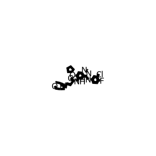 O=C(/C=C/CN1C2CCC1COC2)Nc1cc2c(Nc3ccc(F)c(Cl)c3)ncnc2cc1OC1CCCC1